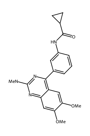 CNc1nc(-c2cccc(NC(=O)C3CC3)c2)c2cc(OC)c(OC)cc2n1